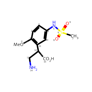 COc1ccc(NS(C)(=O)=O)cc1C(CN)C(=O)O